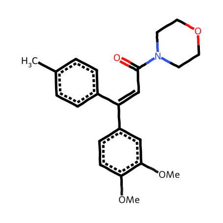 COc1ccc(C(=CC(=O)N2CCOCC2)c2ccc(C)cc2)cc1OC